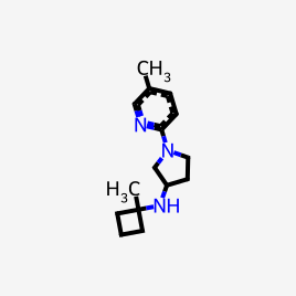 Cc1ccc(N2CCC(NC3(C)CCC3)C2)nc1